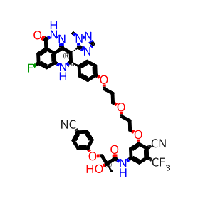 Cn1ncnc1[C@H]1c2n[nH]c(=O)c3cc(F)cc(c23)N[C@@H]1c1ccc(OCCCOCCCOc2cc(NC(=O)[C@](C)(O)COc3ccc(C#N)cc3)cc(C(F)(F)F)c2C#N)cc1